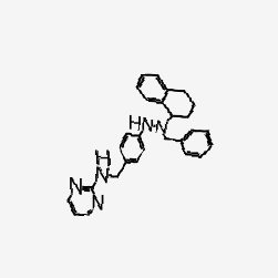 c1ccc(CN(Nc2ccc(CNc3ncccn3)cc2)C2CCCc3ccccc32)cc1